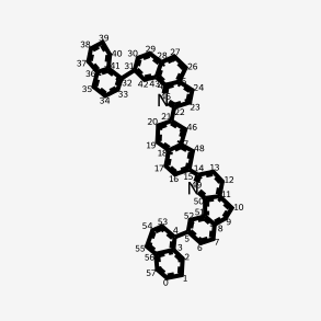 c1ccc2c(-c3ccc4ccc5ccc(-c6ccc7ccc(-c8ccc9ccc%10ccc(-c%11cccc%12ccccc%11%12)cc%10c9n8)cc7c6)nc5c4c3)cccc2c1